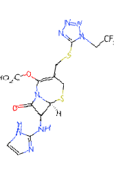 O=C(O)OC1=C(CSc2nnnn2CC(F)(F)F)CS[C@H]2C(Nc3ncc[nH]3)C(=O)N12